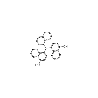 Oc1ccc(C(c2cccc3ccccc23)c2ccc(O)c3ccccc23)c2ccccc12